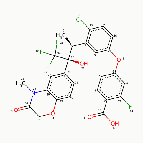 C[C@@H](c1cc(Oc2ccc(C(=O)O)c(F)c2)ccc1Cl)[C@](O)(c1ccc2c(c1)N(C)C(=O)CO2)C(F)(F)F